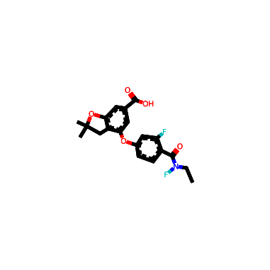 CCN(F)C(=O)c1ccc(Oc2cc(C(=O)O)cc3c2CC(C)(C)O3)cc1F